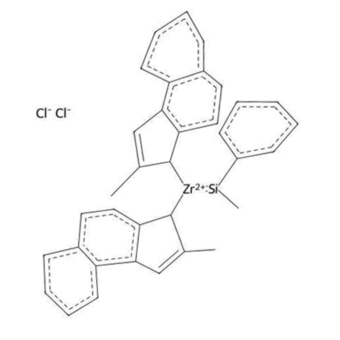 CC1=Cc2c(ccc3ccccc23)[CH]1[Zr+2]([CH]1C(C)=Cc2c1ccc1ccccc21)=[Si](C)c1ccccc1.[Cl-].[Cl-]